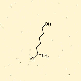 CC(C)C(C)CCCCCO